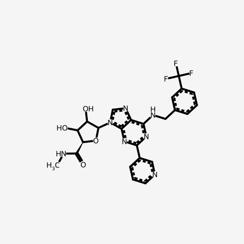 CNC(=O)[C@@H]1OC(n2cnc3c(NCc4cccc(C(F)(F)F)c4)nc(-c4cccnc4)nc32)C(O)C1O